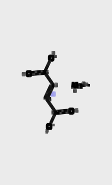 O=C([O-])/C=C/C(=O)[O-].[Mn+2]